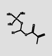 C=C(C)C(=O)OC(CC)O[Si](CCCC)(CCCC)CCCC